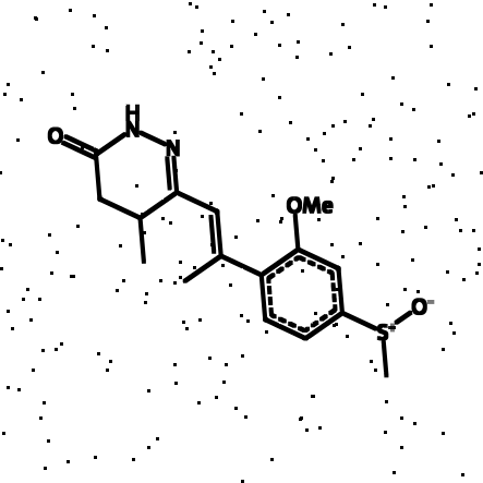 COc1cc([S+](C)[O-])ccc1C(C)=CC1=NNC(=O)CC1C